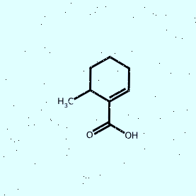 CC1CCCC=C1C(=O)O